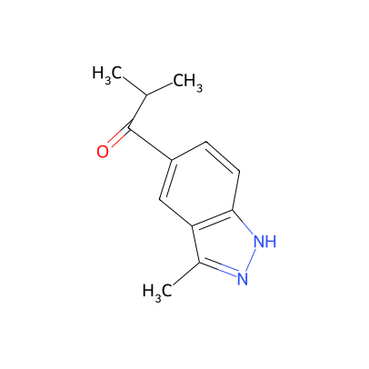 Cc1n[nH]c2ccc(C(=O)C(C)C)cc12